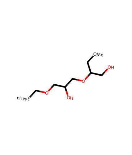 CCCCCCCCOCC(O)COC(CO)COC